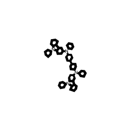 C1=CC(N(c2ccccc2)c2ccc3c(c2)c2ccccc2n3-c2ccccc2)CC=C1c1ccc(N(c2ccccc2)C2C=c3c(n(-c4ccccc4)c4ccccc34)=CC2)cc1